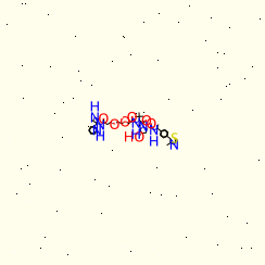 Cc1ncsc1-c1ccc([C@H](C)NC(=O)[C@@H]2C[C@@H](O)CN2C(=O)[C@@H](NC(=O)COCCOCCC(=O)NC2(c3ccccn3)CNC2)C(C)(C)C)cc1